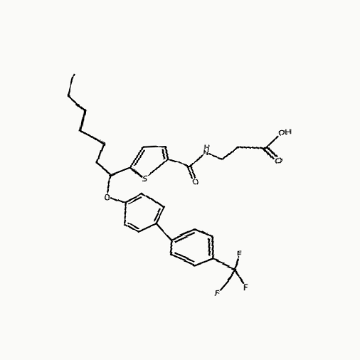 CCCCCCC(Oc1ccc(-c2ccc(C(F)(F)F)cc2)cc1)c1ccc(C(=O)NCCC(=O)O)s1